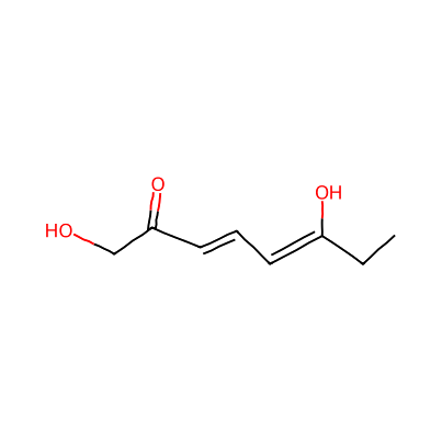 CCC(O)=CC=CC(=O)CO